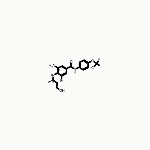 C[C@H](CCO)Nc1c(N)cc(C(=O)Nc2ccc(OC(F)(F)Cl)cc2)cc1Br